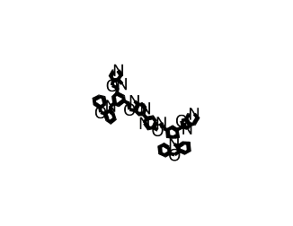 c1ccc2c(c1)Oc1ccccc1N2c1cc(-c2nc3ccncc3o2)cc(-c2nc3cc(-c4cc5oc(-c6cc(-c7nc8cnccc8o7)cc(N7c8ccccc8Oc8ccccc87)c6)nc5cn4)ncc3o2)c1